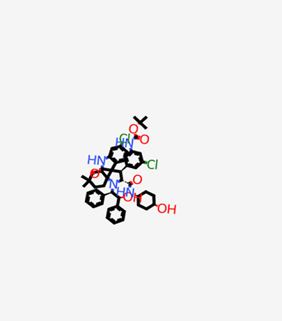 CC1(C)CCC2(CC1)N([C@H](c1ccccc1)[C@@H](O)c1ccccc1)[C@@H](C(=O)N[C@H]1CC[C@H](O)CC1)[C@H](c1cc(Cl)cc(NC(=O)OC(C)(C)C)c1)C21C(=O)Nc2cc(Cl)ccc21